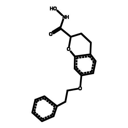 O=C(NO)C1CCc2ccc(OCCc3ccccc3)cc2O1